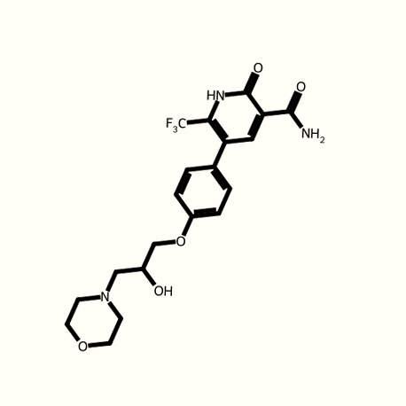 NC(=O)c1cc(-c2ccc(OCC(O)CN3CCOCC3)cc2)c(C(F)(F)F)[nH]c1=O